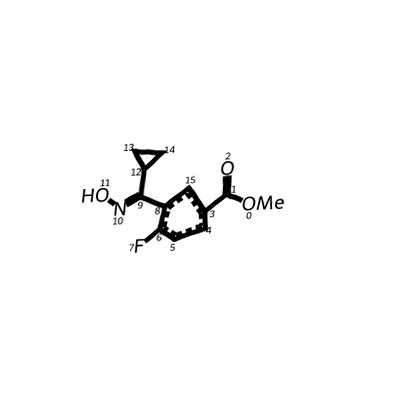 COC(=O)c1ccc(F)c(/C(=N/O)C2CC2)c1